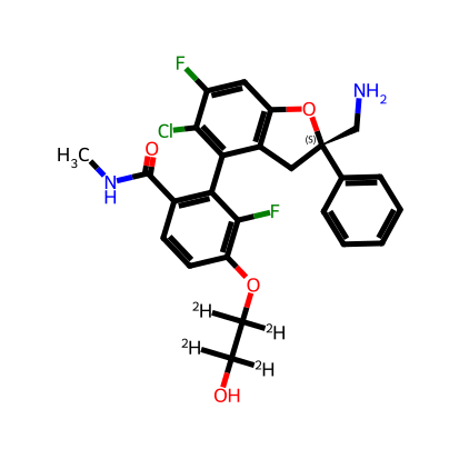 [2H]C([2H])(O)C([2H])([2H])Oc1ccc(C(=O)NC)c(-c2c(Cl)c(F)cc3c2C[C@@](CN)(c2ccccc2)O3)c1F